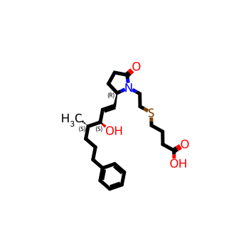 C[C@@H](CCCc1ccccc1)[C@H](O)C=C[C@H]1CCC(=O)N1CCSCCCC(=O)O